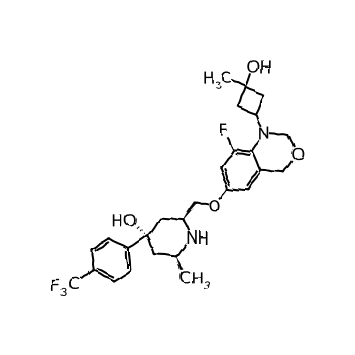 C[C@H]1C[C@@](O)(c2ccc(C(F)(F)F)cc2)C[C@@H](COc2cc(F)c3c(c2)COCN3C2CC(C)(O)C2)N1